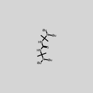 CCC(C)N(C(C)CC)C(C)(C)NC(=S)NC(C)(C)N(C(C)CC)C(C)CC